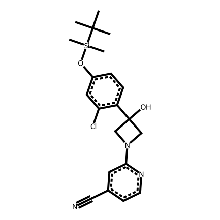 CC(C)(C)[Si](C)(C)Oc1ccc(C2(O)CN(c3cc(C#N)ccn3)C2)c(Cl)c1